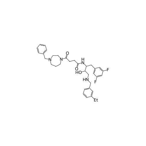 CCc1cccc(CNCC(O)C(Cc2cc(F)cc(F)c2)NC(=O)CCC(=O)N2CCCN(Cc3ccccc3)CC2)c1